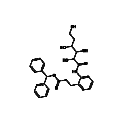 O=C(CCc1ccccc1NC(=O)C(O)C(O)C(O)CCO)OC(c1ccccc1)c1ccccc1